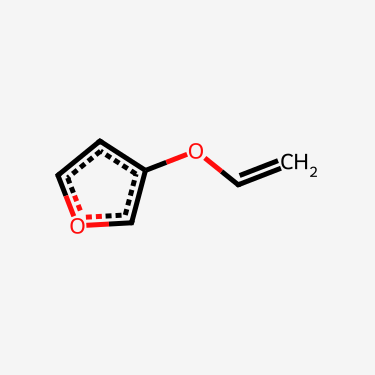 C=COc1ccoc1